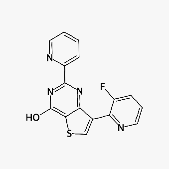 Oc1nc(-c2ccccn2)nc2c(-c3ncccc3F)csc12